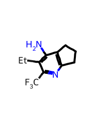 CCc1c(C(F)(F)F)nc2c(c1N)CCC2